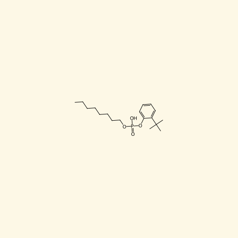 CCCCCCCCOP(=O)(O)Oc1ccccc1C(C)(C)C